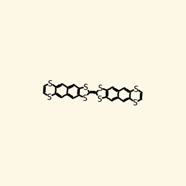 C1=CSc2cc3cc4c(cc3cc2S1)SC(=C1Sc2cc3cc5c(cc3cc2S1)SC=CS5)S4